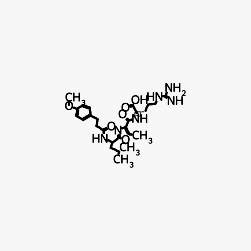 COc1ccc(CCC(=O)NC(CC(C)C)c2nc(C(=O)N[C@@H](CCCNC(=N)N)C(=O)O)c(C)o2)cc1